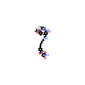 COc1cc(CCNCCCCCC#Cc2ccc3c(c2)CN(C2CCC(=O)NC2=O)C3=O)c(C)cc1Nc1ncc(Cl)c(Nc2ccccc2S(=O)(=O)C(C)C)n1